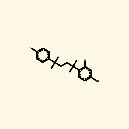 CC(C)(CCC(C)(C)c1ccc(O)cc1O)c1ccc(Cl)cc1